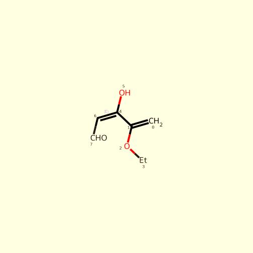 C=C(OCC)/C(O)=C\C=O